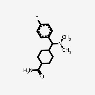 CN(C)C(c1ccc(F)cc1)C1CCC(C(N)=O)CC1